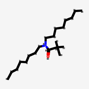 CCCCCCCCN(CCCCCCCC)C(=O)C(C)(C)C